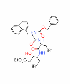 CCOC(=O)C[C@H](O)[C@H](CC(C)C)NC(=O)[C@H](CC(C)C)NC(=O)[C@H](Cc1cccc2ccccc12)NC(=O)OCc1ccccc1